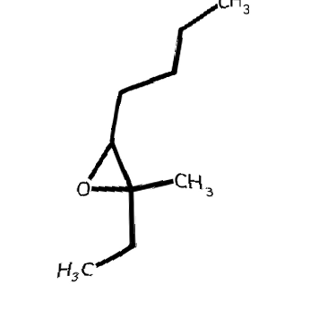 CCCCC1OC1(C)CC